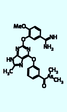 COc1ccc(C(=N)N)cc1Oc1nc(Oc2cccc(C(=O)[As](C)C)c2)c2nc(C)[nH]c2n1